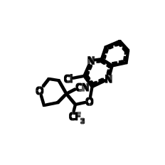 N#CC1(C(Oc2nc3ccccc3nc2Cl)C(F)(F)F)CCOCC1